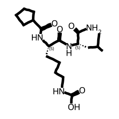 CC(C)C[C@H](NC(=O)[C@H](CCCCNC(=O)O)NC(=O)C1CCCC1)C(N)=O